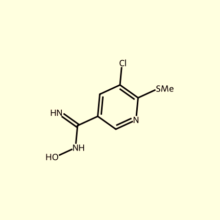 CSc1ncc(C(=N)NO)cc1Cl